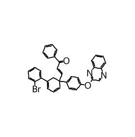 O=C(C=CC1(c2ccc(Oc3cnc4ccccc4n3)cc2)C=CC=C(c2ccccc2Br)C1)c1ccccc1